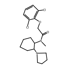 CN(C(=O)COc1c(Cl)cccc1Cl)C1CCCCC1N1CCCC1